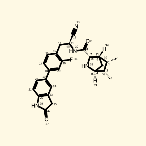 C[C@@H]1[C@H](C)[C@@H]2C[C@@H]1[C@@H](C(=O)N[C@H](C#N)Cc1ccc(-c3ccc4c(c3)CC(=O)N4)cc1F)N2